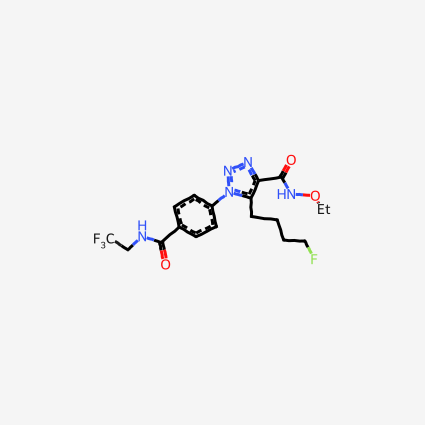 CCONC(=O)c1nnn(-c2ccc(C(=O)NCC(F)(F)F)cc2)c1CCCCF